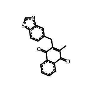 CC1=C(Cc2ccc3scnc3c2)C(=O)c2ccccc2C1=O